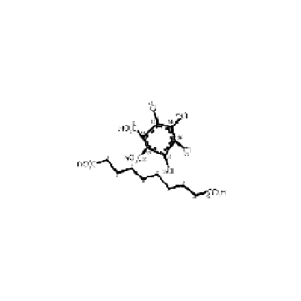 O=C(O)CCCCCCCCC(=O)O.O=C(O)c1c(Cl)c(Cl)c(Cl)c(Cl)c1C(=O)O